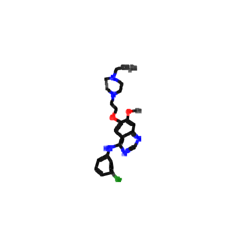 CCOC(=O)CN1CCN(CCOc2cc3c(Nc4cccc(Br)c4)ncnc3cc2OCC)CC1